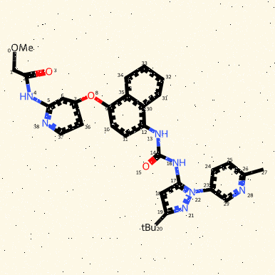 COCC(=O)Nc1cc(Oc2ccc(NC(=O)Nc3cc(C(C)(C)C)nn3-c3ccc(C)nc3)c3ccccc23)ccn1